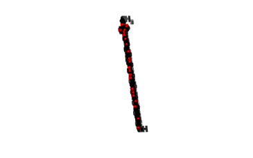 CCCCc1cccc2c(OCCOCCOCCOCCOCCOCCOCCOCCOCCOCCOCCOCCOCCOCCOCCOCCOCCOCCO)cccc12